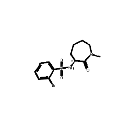 CN1CCCC[C@H](NS(=O)(=O)c2ccccc2Br)C1=O